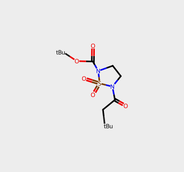 CC(C)(C)CC(=O)N1CCN(C(=O)OC(C)(C)C)S1(=O)=O